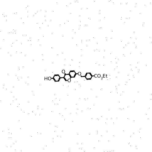 CCOC(=O)c1ccc(COc2ccc3c(=O)c(-c4ccc(O)cc4)coc3c2)cc1